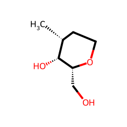 C[C@@H]1CCO[C@H](CO)[C@@H]1O